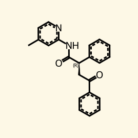 Cc1ccnc(NC(=O)[C@H](CC(=O)c2ccccc2)c2ccccc2)c1